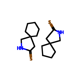 S=C1CC2(CCCC2)CN1.S=C1CC2(CCCCC2)CN1